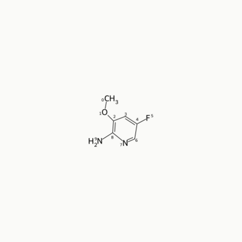 COc1cc(F)cnc1N